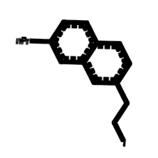 CCCc1ccc2ccc(CCI)cc2c1